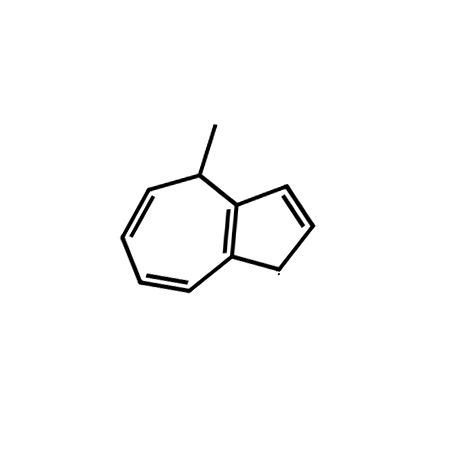 CC1C=CC=CC2=C1C=C[CH]2